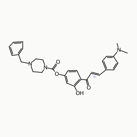 CN(C)c1ccc(/C=C/C(=O)c2ccc(OC(=O)N3CCN(Cc4ccccc4)CC3)cc2O)cc1